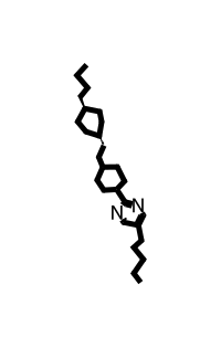 CCCCCc1cnc(C2CCC(CC[C@H]3CC[C@H](CCCC)CC3)CC2)nc1